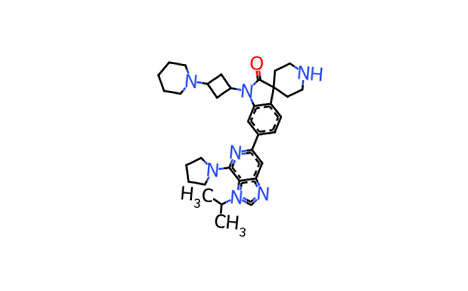 CC(C)n1cnc2cc(-c3ccc4c(c3)N(C3CC(N5CCCCC5)C3)C(=O)C43CCNCC3)nc(N3CCCC3)c21